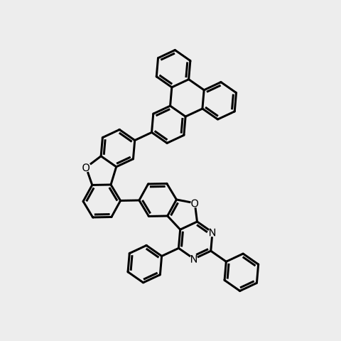 c1ccc(-c2nc(-c3ccccc3)c3c(n2)oc2ccc(-c4cccc5oc6ccc(-c7ccc8c9ccccc9c9ccccc9c8c7)cc6c45)cc23)cc1